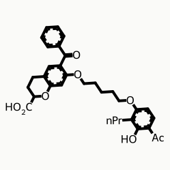 CCCc1c(OCCCCCOc2cc3c(cc2C(=O)c2ccccc2)CCC(C(=O)O)O3)ccc(C(C)=O)c1O